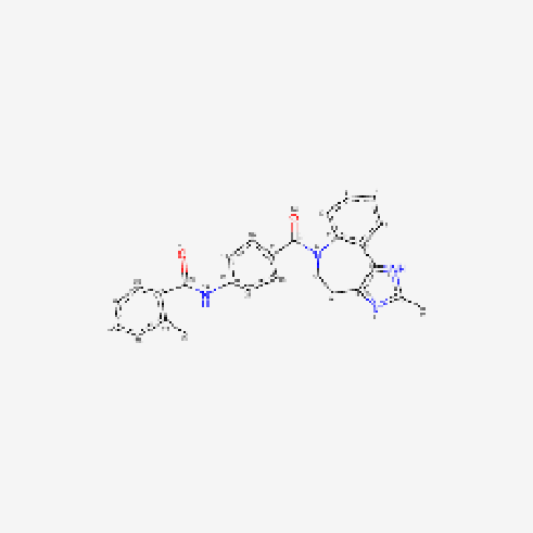 Cc1nc2c([nH]1)-c1ccccc1N(C(=O)c1ccc(NC(=O)c3ccccc3C)cc1)CC2